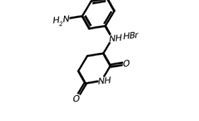 Br.Nc1cccc(NC2CCC(=O)NC2=O)c1